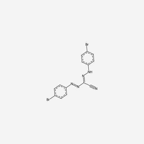 N#CC(N=Nc1ccc(Br)cc1)=NNc1ccc(Br)cc1